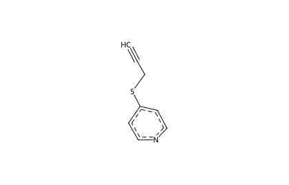 C#CCSc1ccncc1